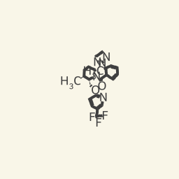 C[C@@H]1CCCN(C(=O)C2C=CC=CC2(C)n2nccn2)[C@@H]1COc1ccc(C(F)(F)F)cn1